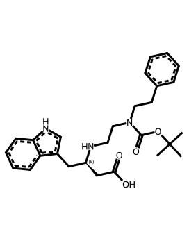 CC(C)(C)OC(=O)N(CCN[C@@H](CC(=O)O)Cc1c[nH]c2ccccc12)CCc1ccccc1